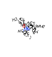 COc1ccc(C(C)C)cc1-c1cc(C(F)(F)F)c(OC)cc1CN(Cc1cc(C#N)cc(C(F)(F)F)c1)c1ncc(OCCCC(=O)O)cn1